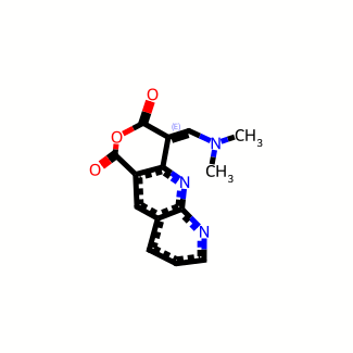 CN(C)/C=C1/C(=O)OC(=O)c2cc3cccnc3nc21